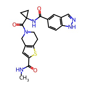 CNC(=O)c1cc2c(s1)CCN(C(=O)C1(NC(=O)c3ccc4[nH]ncc4c3)CC1)C2